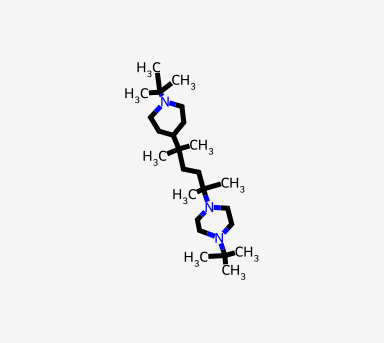 CC(C)(CCC(C)(C)N1CCN(C(C)(C)C)CC1)C1CCN(C(C)(C)C)CC1